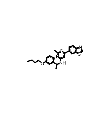 CCCCOc1cccc(C(C)Nc2cc(-c3ccc4ncsc4c3)nc(C)n2)c1